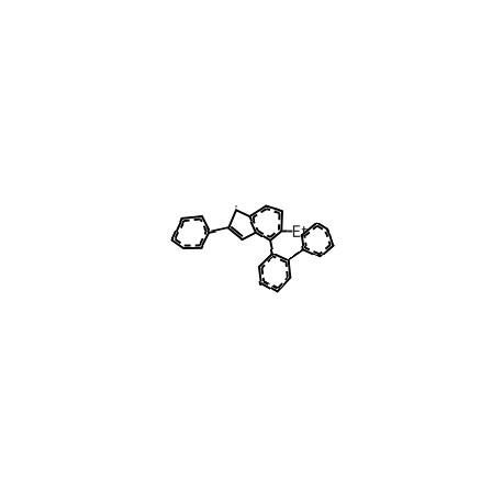 CCc1ccc2c(c1-c1ccccc1-c1ccccc1)C=C(c1ccccc1)[CH]2